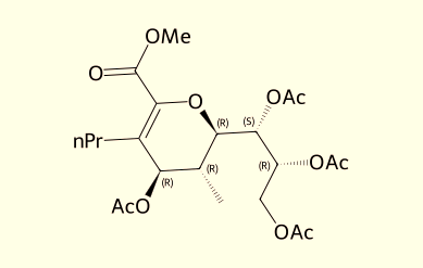 CCCC1=C(C(=O)OC)O[C@@H]([C@H](OC(C)=O)[C@@H](COC(C)=O)OC(C)=O)[C@H](C)[C@H]1OC(C)=O